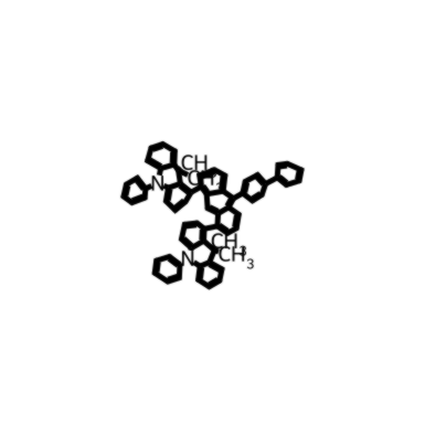 CC1(C)c2ccccc2N(c2ccccc2)c2cccc(-c3cccc4c(-c5ccc(-c6ccccc6)cc5)c5cccc(-c6cccc7c6C(C)(C)c6ccccc6N7c6ccccc6)c5cc34)c21